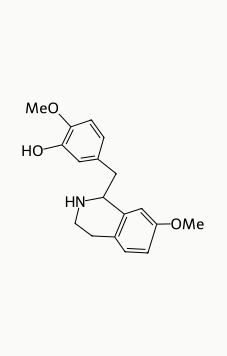 COc1ccc2c(c1)C(Cc1ccc(OC)c(O)c1)NCC2